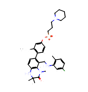 COc1cc(OS(=O)(=O)CCCN2CCCCC2)ccc1-c1ccc2c(c1CNc1cc(F)ccc1C)N(C)C(=O)C(C)(C)N2